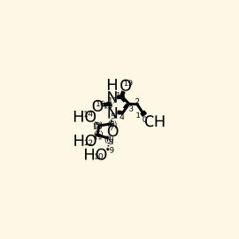 C#CCc1cn([C@@H]2O[C@H](CO)[C@@H](O)[C@@H]2O)c(=O)[nH]c1=O